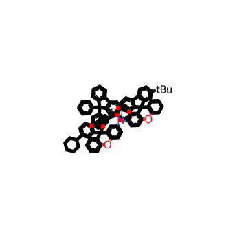 CC(C)(C)c1ccc2c(c1)C1(C3=C(CCC=C3)Oc3ccc(N(c4ccc5c(c4)C4(c6ccccc6O5)c5cc(C6CCCCC6)ccc5-c5ccc(C6CCCCC6)cc54)c4ccc5c(c4)C(c4ccccc4)(c4ccccc4)c4ccccc4-5)cc31)c1cc(C(C)(C)C)ccc1-2